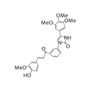 COc1cc(/C=C/C(=O)c2cccc(-n3cc(-c4cc(OC)c(OC)c(OC)c4)[nH]c3=O)c2)ccc1O